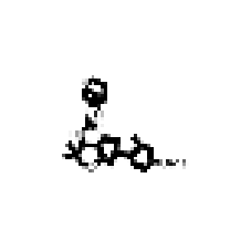 COc1ccc(-c2ccc3c(c2)OCC(C)(C)C3NC(=O)O[C@H]2CN3CCC2CC3)c(C)c1